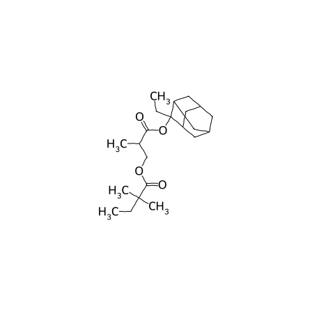 CCC(C)(C)C(=O)OCC(C)C(=O)OC1(CC)C2CC3CC(C2)CC1C3